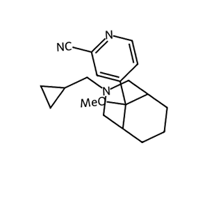 COC1(c2ccnc(C#N)c2)C2CCCC1CN(CC1CC1)C2